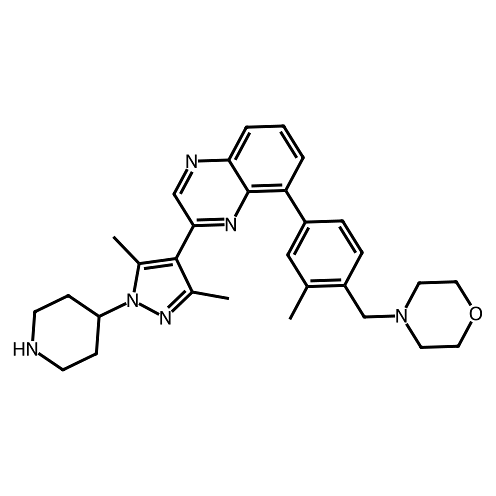 Cc1cc(-c2cccc3ncc(-c4c(C)nn(C5CCNCC5)c4C)nc23)ccc1CN1CCOCC1